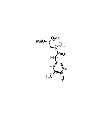 COC(CN(C)C(=O)Nc1ccc(Cl)c(C(F)(F)F)c1)OC